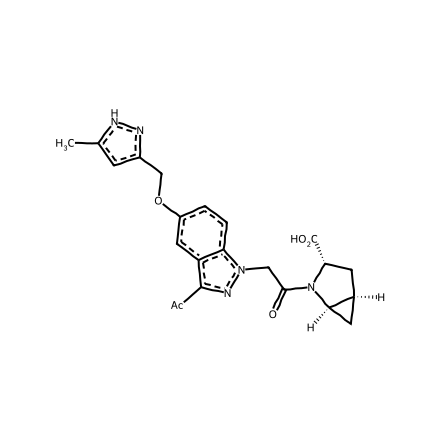 CC(=O)c1nn(CC(=O)N2[C@@H]3C[C@@H]3C[C@H]2C(=O)O)c2ccc(OCc3cc(C)[nH]n3)cc12